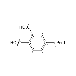 CCCCCc1ccc(C(=O)O)c(C(=O)O)c1